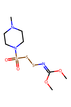 COC(=NSSS(=O)(=O)N1CCN(C)CC1)OC